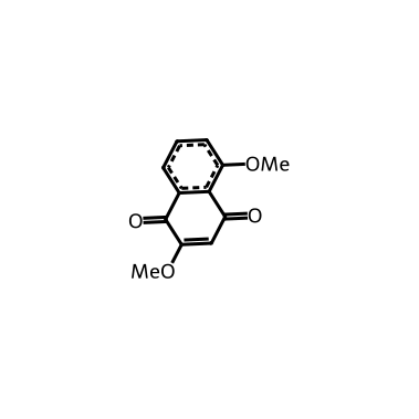 COC1=CC(=O)c2c(OC)cccc2C1=O